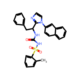 Cc1ccccc1S(=O)(=O)NC(=O)NC(Cc1ccccc1)c1nccn1-c1ccc2ccccc2c1